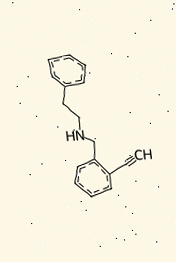 C#Cc1ccccc1CNCCc1ccccc1